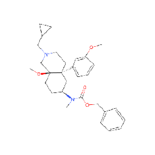 COc1cccc([C@@]23CCN(CC4CC4)C[C@@]2(OC)CC[C@H](N(C)C(=O)OCc2ccccc2)C3)c1